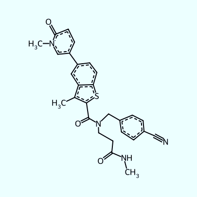 CNC(=O)CCN(Cc1ccc(C#N)cc1)C(=O)c1sc2ccc(-c3ccc(=O)n(C)c3)cc2c1C